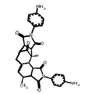 CC1C=C2CC3C(=O)[C@H](C4C(=O)N(c5ccc(N)cc5)C(=O)C34)C2C2C(=O)N(c3ccc(N)cc3)C(=O)C12